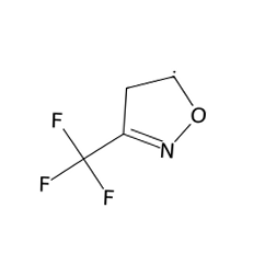 FC(F)(F)C1=NO[CH]C1